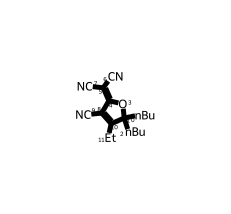 CCCCC1(CCCC)OC(=C(C#N)C#N)C(C#N)=C1CC